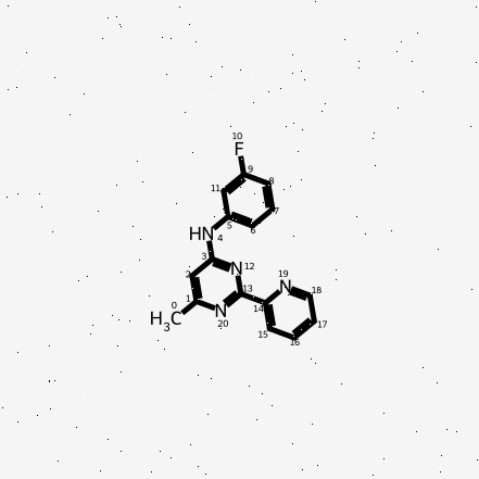 Cc1cc(Nc2cccc(F)c2)nc(-c2ccccn2)n1